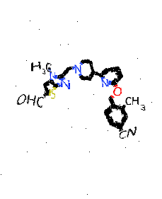 Cc1cc(C#N)ccc1COc1cccc(C2CCN(Cc3nc4sc(C=O)cc4n3C)CC2)n1